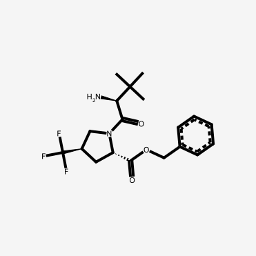 CC(C)(C)[C@H](N)C(=O)N1C[C@H](C(F)(F)F)C[C@H]1C(=O)OCc1ccccc1